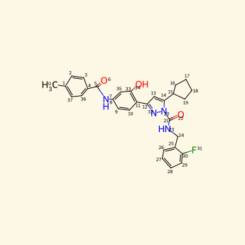 Cc1ccc(C(=O)Nc2ccc(-c3cc(C4CCCC4)n(C(=O)NCc4ccccc4F)n3)c(O)c2)cc1